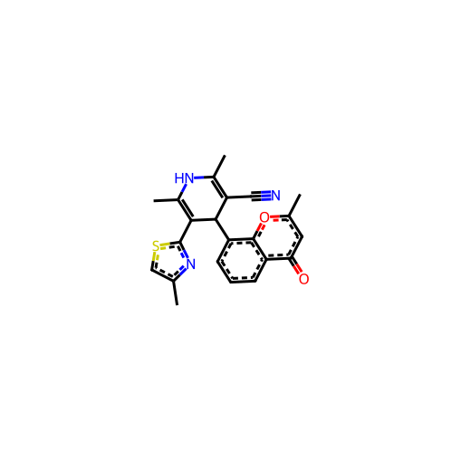 CC1=C(C#N)C(c2cccc3c(=O)cc(C)oc23)C(c2nc(C)cs2)=C(C)N1